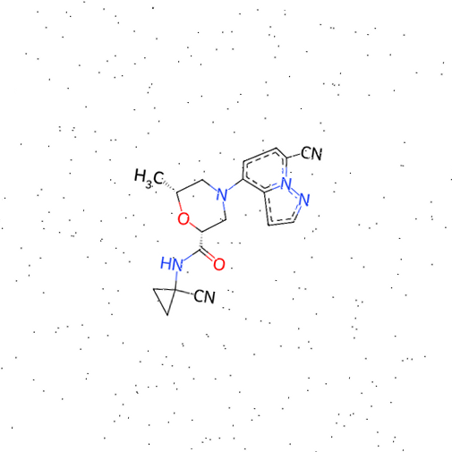 C[C@@H]1CN(c2ccc(C#N)n3nccc23)C[C@H](C(=O)NC2(C#N)CC2)O1